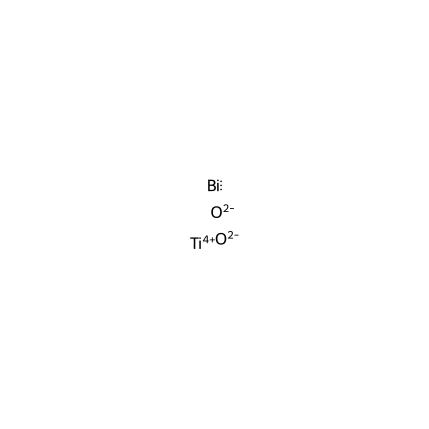 [Bi].[O-2].[O-2].[Ti+4]